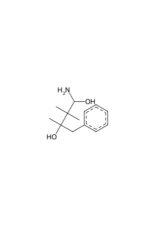 CC(O)(Cc1ccccc1)C(C)(C)C(N)O